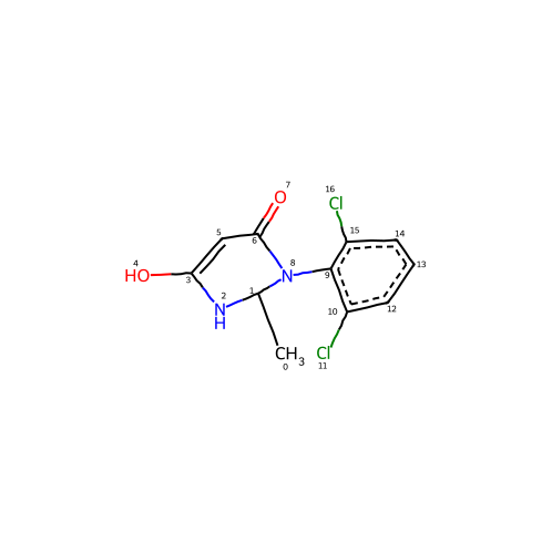 CC1NC(O)=CC(=O)N1c1c(Cl)cccc1Cl